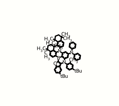 Cc1cc(C(C)(C)C)ccc1N1c2cc(N(c3ccccc3)c3ccccc3)cc3c2B(c2ccc4c5c2N3c2ccc3c(c2C5(C)CCC4(C)C)C(C)(C)CCC3(C)C)c2oc3ccc(C(C)(C)C)cc3c21